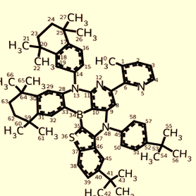 Cc1cccnc1-c1cc2c3c(n1)N(c1ccc4c(c1)C(C)(C)CCC4(C)C)c1cc4c(cc1B3c1sc3ccc(C(C)(C)C)cc3c1N2c1ccc(C(C)(C)C)cc1)C(C)(C)CCC4(C)C